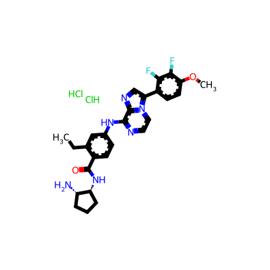 CCc1cc(Nc2nccn3c(-c4ccc(OC)c(F)c4F)cnc23)ccc1C(=O)N[C@@H]1CCC[C@@H]1N.Cl.Cl